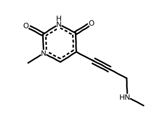 CNCC#Cc1cn(C)c(=O)[nH]c1=O